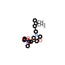 CC1(C)c2ccccc2-c2ccc(-c3ccc(N(c4ccc(-c5cccc6c5oc5ccccc56)cc4)c4cccc5oc6ccc(-c7ccc8c(c7)c7ccccc7n8-c7ccccc7)cc6c45)cc3)cc21